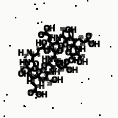 N[C@@H](CCC(=O)O)C(=O)N[C@@H](CO)C(=O)N[C@@H](CCC(=O)O)C(=O)N[C@@H](CO)C(=O)N[C@@H](CCC(=O)O)C(=O)N[C@@H](CO)C(=O)N[C@@H](CCC(=O)O)C(=O)N[C@@H](CO)C(=O)N[C@@H](CCC(=O)O)C(=O)N[C@@H](CO)C(=O)O